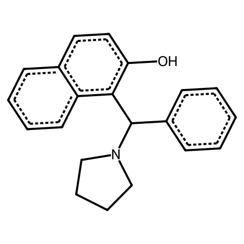 Oc1ccc2ccccc2c1C(c1ccccc1)N1CCCC1